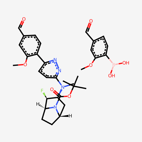 COc1cc(C=O)ccc1-c1ccc(N(C)[C@H]2C[C@@H]3CC[C@@H]([C@H]2F)N3C(=O)OC(C)(C)C)nn1.COc1cc(C=O)ccc1B(O)O